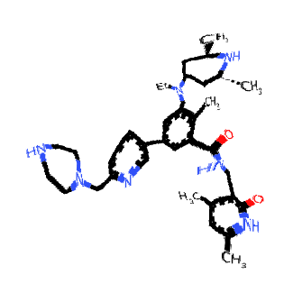 CCN(c1cc(-c2ccc(CN3CCNCC3)nc2)cc(C(=O)NCc2c(C)cc(C)[nH]c2=O)c1C)C1C[C@@H](C)N[C@H](C)C1